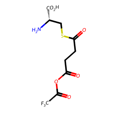 N[C@@H](CSC(=O)CCC(=O)OC(=O)C(F)(F)F)C(=O)O